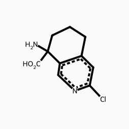 NC1(C(=O)O)CCCc2cc(Cl)ncc21